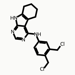 ClCc1ccc(Nc2ncnc3[nH]c4c(c23)CCCC4)cc1CCl